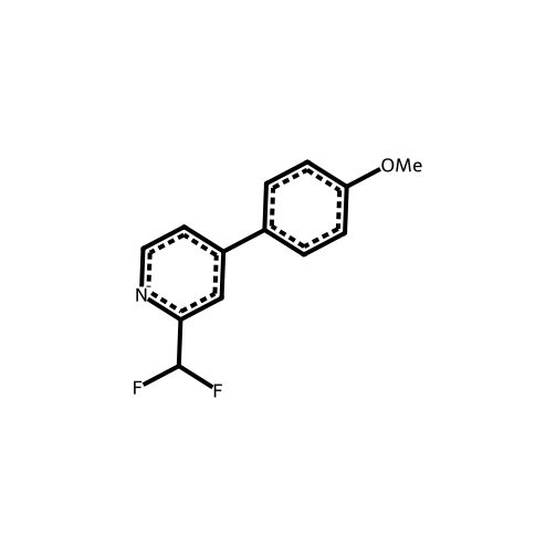 COc1ccc(-c2ccnc(C(F)F)c2)cc1